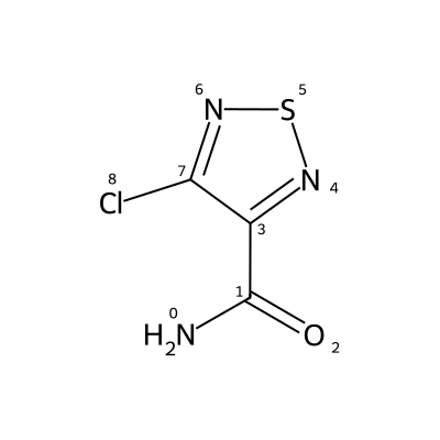 NC(=O)c1nsnc1Cl